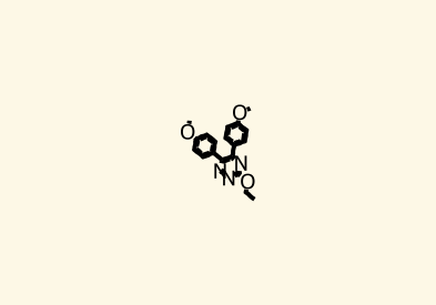 CCOc1nnc(-c2ccc(OC)cc2)c(-c2ccc(OC)cc2)n1